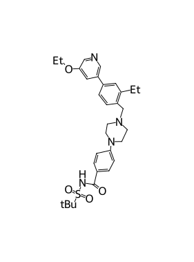 CCOc1cncc(-c2ccc(CN3CCN(c4ccc(C(=O)NS(=O)(=O)C(C)(C)C)cc4)CC3)c(CC)c2)c1